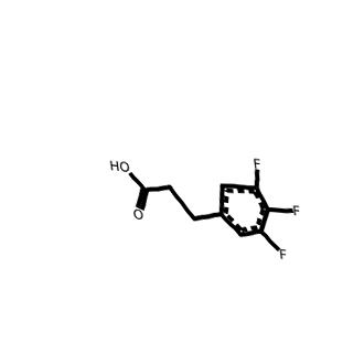 O=C(O)CCc1cc(F)c(F)c(F)c1